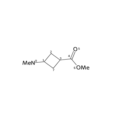 CNC1CC(C(=O)OC)C1